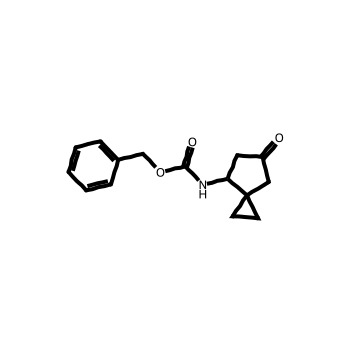 O=C1CC(NC(=O)OCc2ccccc2)C2(CC2)C1